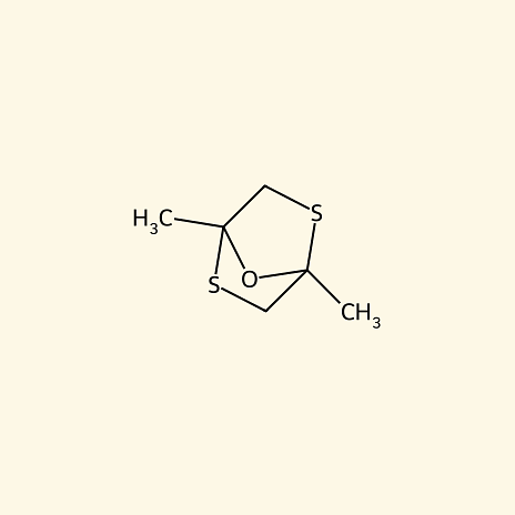 CC12CSC(C)(CS1)O2